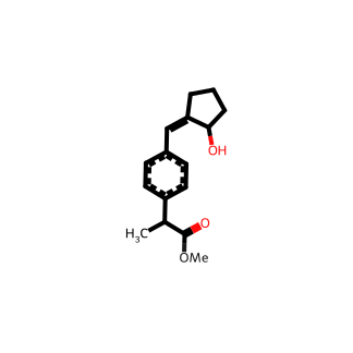 COC(=O)C(C)c1ccc(C=C2CCCC2O)cc1